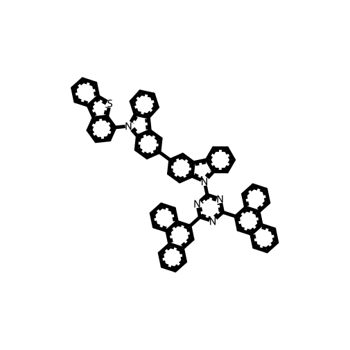 c1ccc2c(c1)cc(-c1nc(-c3cc4ccccc4c4ccccc34)nc(-n3c4ccccc4c4cc(-c5ccc6c(c5)c5ccccc5n6-c5cccc6c5sc5ccccc56)ccc43)n1)c1ccccc12